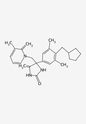 C=C1C(C)=CC=CN1CC1(c2cc(C)c(CC3CCCC3)c(C)c2)NC(=O)NC1=C